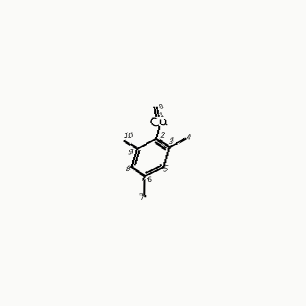 [CH2]=[Cu][c]1c(C)cc(C)cc1C